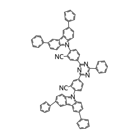 N#Cc1cc(-c2nc(-c3ccccc3)nc(-c3ccc(-n4c5ccc(-c6ccccc6)cc5c5cc(-c6ccccc6)ccc54)c(C#N)c3)n2)ccc1-n1c2ccc(-c3ccccc3)cc2c2cc(-c3ccccc3)ccc21